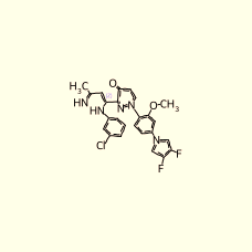 COc1cc(-n2cc(F)c(F)c2)ccc1-n1ccc(=O)c(/C(=C/C(C)=N)Nc2cccc(Cl)c2)n1